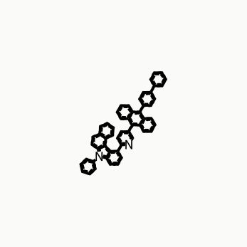 c1ccc(-c2ccc(-c3c4ccccc4c(-c4ccc(-c5cccc6c5c5c7ccccc7ccc5n6-c5ccccc5)nc4)c4ccccc34)cc2)cc1